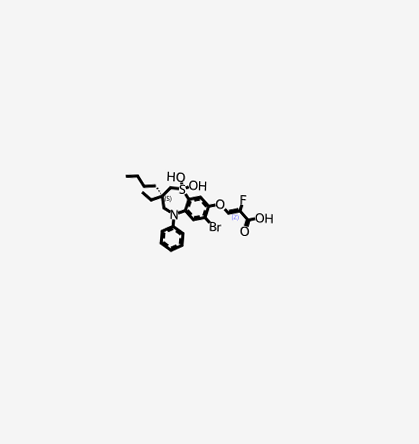 CCCC[C@@]1(CC)CN(c2ccccc2)c2cc(Br)c(O/C=C(\F)C(=O)O)cc2S(O)(O)C1